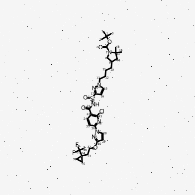 CC(C)(C)OC(=O)N1CC(CCCCn2ccc([S+]([O-])NC(=O)c3ccc(-n4ccc(OCCC5(C(F)(F)F)CC5)n4)nc3Cl)n2)CC1(C)C